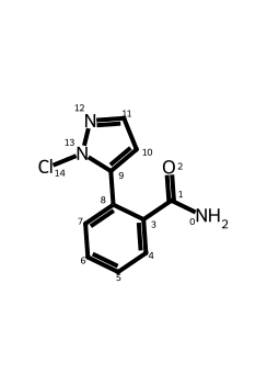 NC(=O)c1ccccc1-c1ccnn1Cl